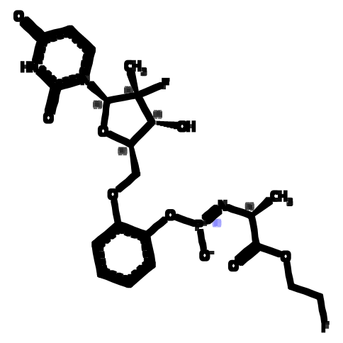 C[C@H](/N=[P+](\[O-])Oc1ccccc1OC[C@H]1O[C@@H](n2ccc(=O)[nH]c2=O)[C@](C)(F)[C@@H]1O)C(=O)OCCF